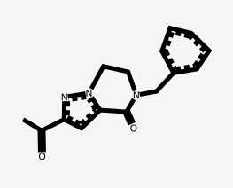 CC(=O)c1cc2n(n1)CCN(Cc1ccccc1)C2=O